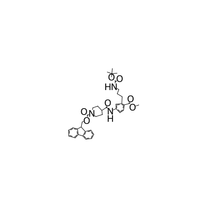 COC(=O)c1ccc(NC(=O)C2CCN(C(=O)OCC3c4ccccc4-c4ccccc43)CC2)cc1CCCNC(=O)OC(C)(C)C